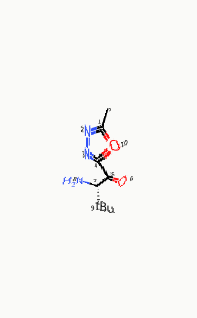 Cc1nnc(C(=O)[C@@H](N)C(C)(C)C)o1